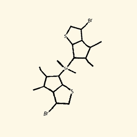 CC1C(C)C([Si](C)(C)C2C(C)C(C)C3C(Br)CSC32)C2SCC(Br)C12